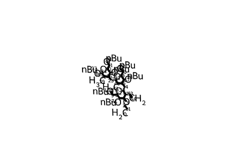 C=CCOC1[C@H](OCCCC)C(COCCCC)O[C@@H](CC2[C@H](OCCCC)C(COCCCC)O[C@@H](CC3[C@H](OCCCC)C(COCCCC)O[C@@H](OCCCC)[C@H]3C)[C@H]2C)[C@H]1C=C